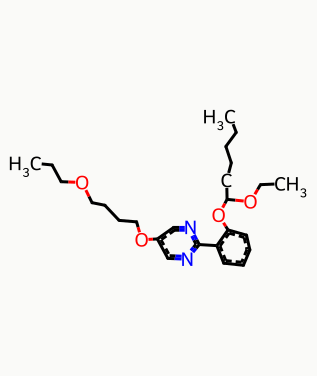 CCCCCC(OCC)Oc1ccccc1-c1ncc(OCCCCOCCC)cn1